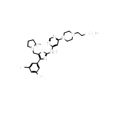 C[C@@H]1CCCN1Cc1sc(Nc2cc(N3CCN(CCC(=O)O)CC3)ncn2)nc1-c1cc(Cl)cc(C(F)(F)F)c1